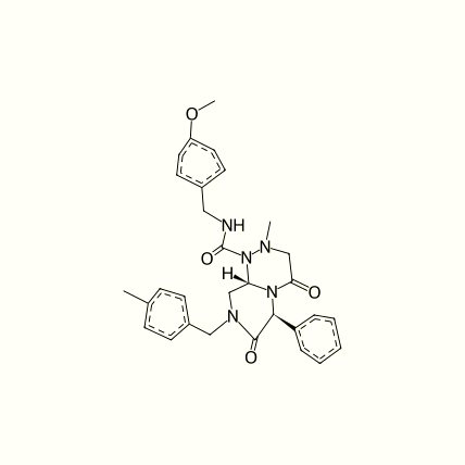 COc1ccc(CNC(=O)N2[C@H]3CN(Cc4ccc(C)cc4)C(=O)[C@H](c4ccccc4)N3C(=O)CN2C)cc1